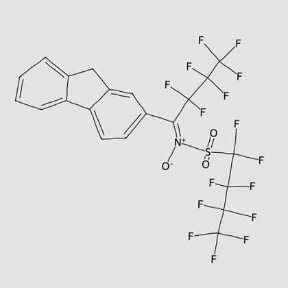 O=S(=O)(/[N+]([O-])=C(/c1ccc2c(c1)Cc1ccccc1-2)C(F)(F)C(F)(F)C(F)(F)F)C(F)(F)C(F)(F)C(F)(F)C(F)(F)F